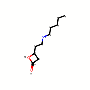 CCCCC[N]CCC1CC(=O)O1